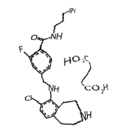 CC(C)CCCNC(=O)c1ccc(CNc2c(Cl)ccc3c2CCNCC3)cc1F.O=C(O)CCC(=O)O